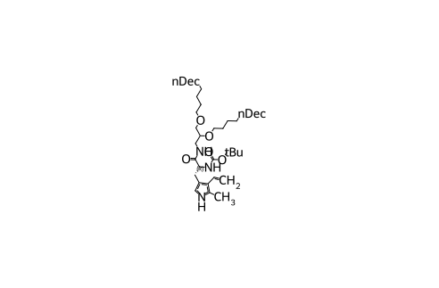 C=Cc1c(C[C@@H](NC(=O)OC(C)(C)C)C(=O)NCC(COCCCCCCCCCCCCCC)OCCCCCCCCCCCCCC)c[nH]c1C